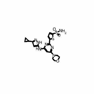 NS(=O)(=O)c1ccc(-c2nc(Nc3cc(C4CC4)n[nH]3)cc(N3CCOCC3)n2)s1